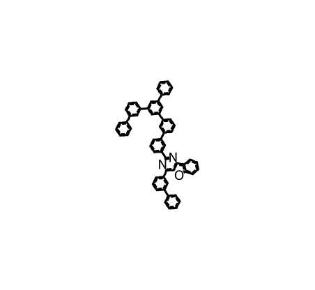 c1ccc(-c2cccc(-c3cc(-c4ccccc4)cc(-c4cccc(-c5cccc(-c6nc(-c7cccc(-c8ccccc8)c7)c7oc8ccccc8c7n6)c5)c4)c3)c2)cc1